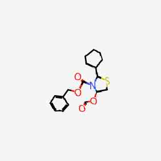 O=CO[C@@H]1CSC(C2CCCCC2)N1C(=O)OCc1ccccc1